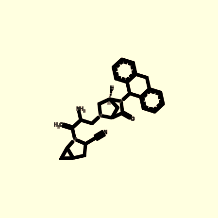 C=C(C(N)CN1C[C@@H]2CC1C(=O)N2C1c2ccccc2Cc2ccccc21)N1C(C#N)CC2CC21